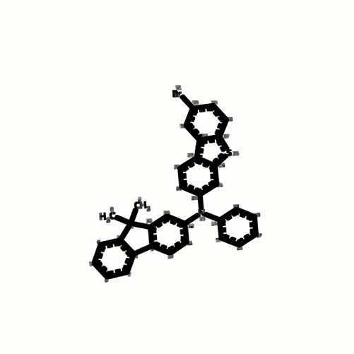 CC1(C)c2ccccc2-c2ccc(N(c3ccccc3)c3ccc4c(c3)sc3ccc(Br)cc34)cc21